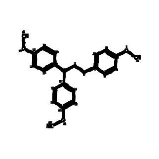 N#COc1ccc(CCC(c2ccc(OC#N)cc2)c2ccc(OC#N)cc2)cc1